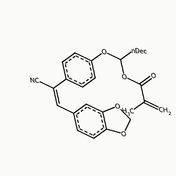 C=C(C)C(=O)OC(CCCCCCCCCC)Oc1ccc(C(C#N)=Cc2ccc3c(c2)OCO3)cc1